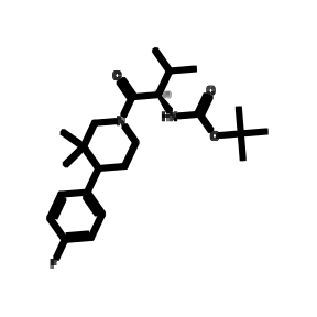 CC(C)[C@@H](NC(=O)OC(C)(C)C)C(=O)N1CCC(c2ccc(F)cc2)C(C)(C)C1